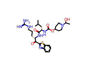 CC(C)C[C@H](NC(=O)OC1CCN(C(C)O)CC1)C(=O)N[C@@H](CCCNC(=N)N)C(=O)c1nc2ccccc2s1